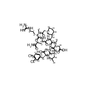 CC(=O)N(C)[C@@H](CCCNC(=N)N)C(=O)N[C@@H](CCC(N)=O)C(=O)N[C@@H](CC1CCCCC1)C(=O)N(C)[C@@H](CC(=O)O)C(=O)N[C@@H](CC(C)C)C(=O)N[C@@H](Cc1ccc(Cl)c(Cl)c1)C(=O)O